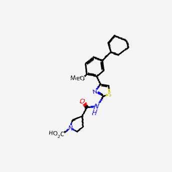 COc1ccc(C2CCCCC2)cc1-c1csc(NC(=O)C2CCN(C(=O)O)C2)n1